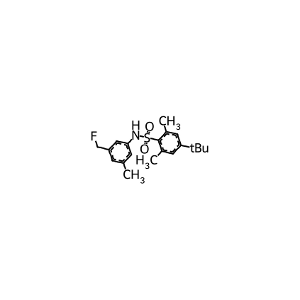 Cc1cc(CF)cc(NS(=O)(=O)c2c(C)cc(C(C)(C)C)cc2C)c1